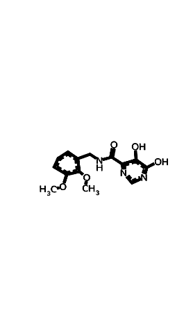 COc1cccc(CNC(=O)c2ncnc(O)c2O)c1OC